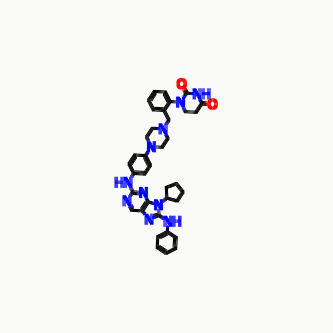 O=C1CCN(c2ccccc2CN2CCN(c3ccc(Nc4ncc5nc(Nc6ccccc6)n(C6CCCC6)c5n4)cc3)CC2)C(=O)N1